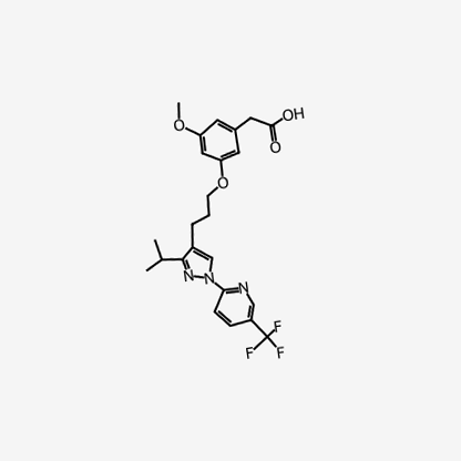 COc1cc(CC(=O)O)cc(OCCCc2cn(-c3ccc(C(F)(F)F)cn3)nc2C(C)C)c1